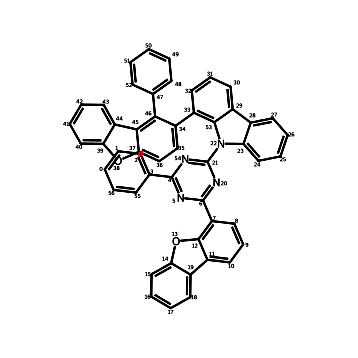 c1ccc(-c2nc(-c3cccc4c3oc3ccccc34)nc(-n3c4ccccc4c4cccc(-c5ccc6oc7ccccc7c6c5-c5ccccc5)c43)n2)cc1